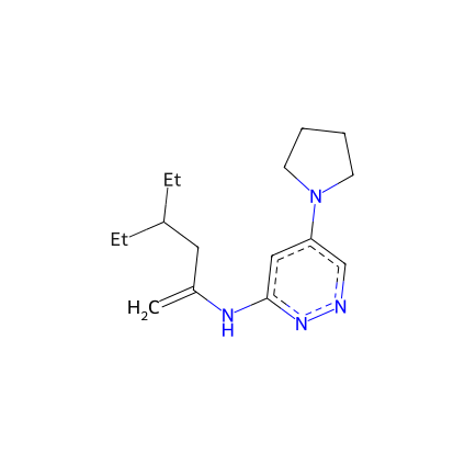 C=C(CC(CC)CC)Nc1cc(N2CCCC2)cnn1